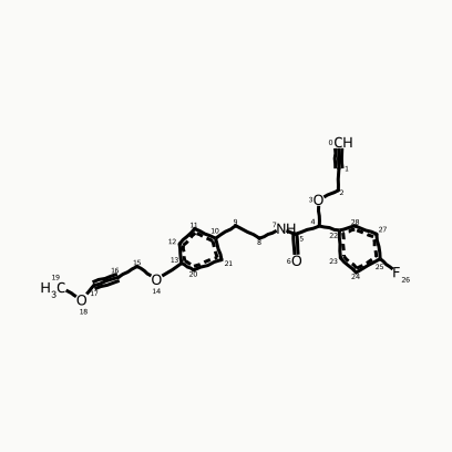 C#CCOC(C(=O)NCCc1ccc(OCC#COC)cc1)c1ccc(F)cc1